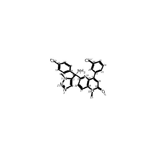 Cn1nncc1[C@@](N)(c1ccc(Cl)cc1)c1ccc2c(n1)c(-c1cccc(Cl)c1)cc(=O)n2C